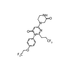 O=C1CN(c2cc(=O)n(-c3ccc(OCC(F)(F)F)cc3)c(CCC(F)(F)F)n2)CCN1